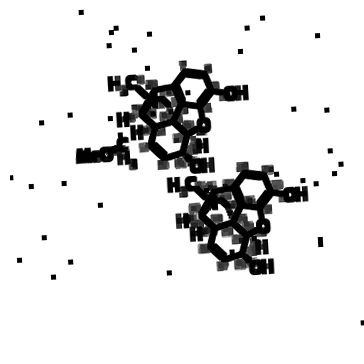 CN1CC[C@]23c4c5ccc(O)c4O[C@H]2[C@@H](O)C=C[C@H]3[C@H]1C5.CN1CC[C@]23c4c5ccc(O)c4O[C@H]2[C@@H](O)C=C[C@H]3[C@H]1C5.COC